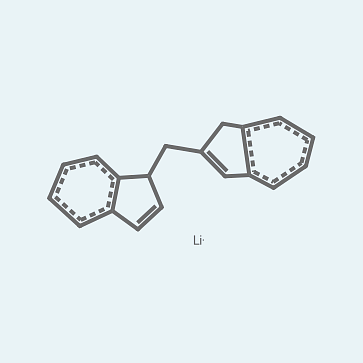 C1=CC(CC2=Cc3ccccc3C2)c2ccccc21.[Li]